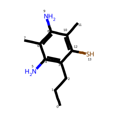 CCCc1c(N)c(C)c(N)c(C)c1S